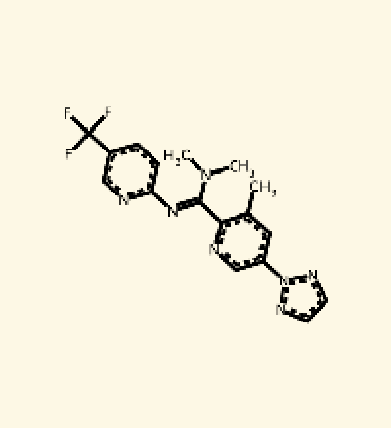 Cc1cc(-n2nccn2)cnc1/C(=N/c1ccc(C(F)(F)F)cn1)N(C)C